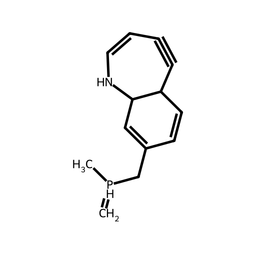 C=[PH](C)CC1=CC2NC=CC#CC2C=C1